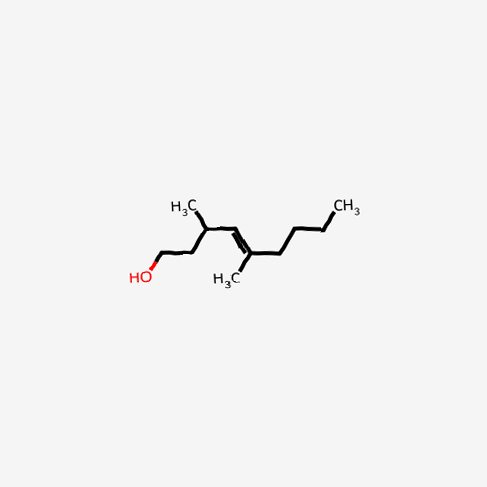 CCCCC(C)=CC(C)CCO